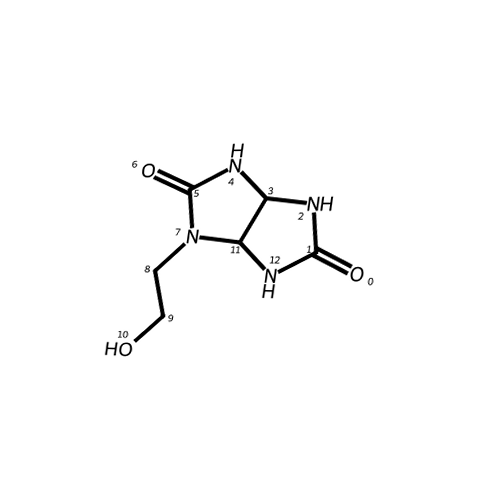 O=C1NC2NC(=O)N(CCO)C2N1